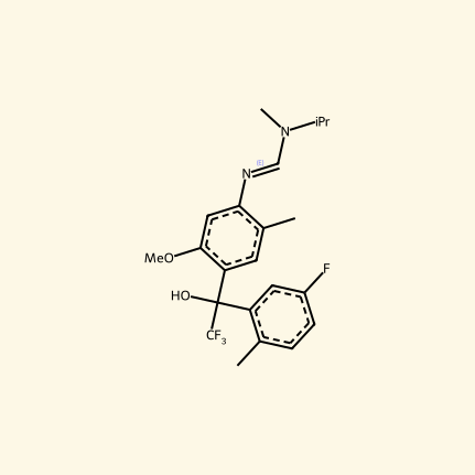 COc1cc(/N=C/N(C)C(C)C)c(C)cc1C(O)(c1cc(F)ccc1C)C(F)(F)F